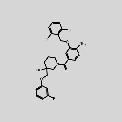 Nc1ncc(C(=O)N2CCCC(O)(COc3cccc(F)c3)C2)cc1OCc1c(Cl)cccc1Cl